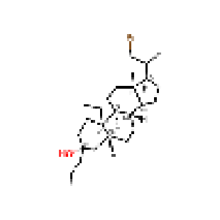 CCC[C@@]1(O)CC[C@@]2(CC)[C@H](CC[C@H]3[C@@H]4CC[C@H](C(C)CBr)[C@@]4(C)CC[C@@H]32)C1